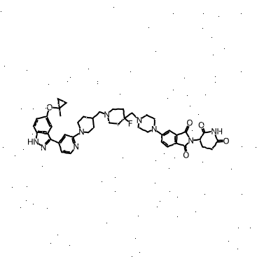 CC1(Oc2ccc3[nH]nc(-c4ccnc(N5CCC(CN6CCC(F)(CN7CCN(c8ccc9c(c8)C(=O)N(C8CCC(=O)NC8=O)C9=O)CC7)CC6)CC5)c4)c3c2)CC1